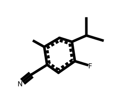 Cc1cc(C(C)C)c(F)cc1C#N